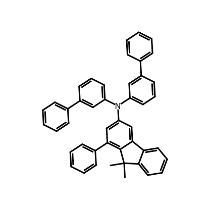 CC1(C)c2ccccc2-c2cc(N(c3cccc(-c4ccccc4)c3)c3cccc(-c4ccccc4)c3)cc(-c3ccccc3)c21